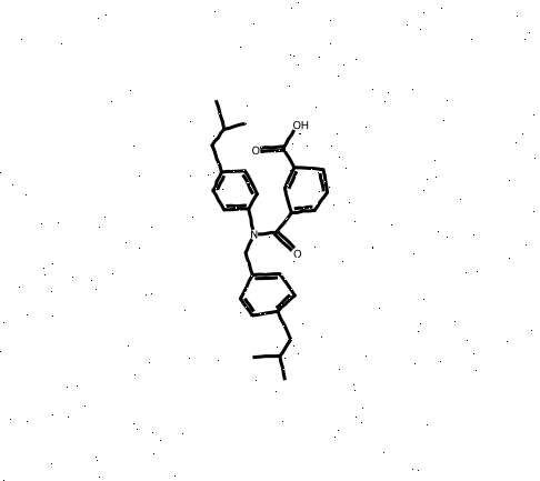 CC(C)Cc1ccc(CN(C(=O)c2cccc(C(=O)O)c2)c2ccc(CC(C)C)cc2)cc1